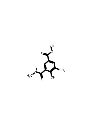 CNC(=O)c1cc(C(=O)OC)cc(C)c1O